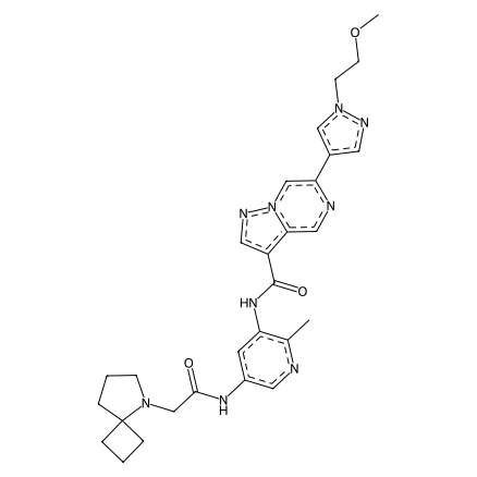 COCCn1cc(-c2cn3ncc(C(=O)Nc4cc(NC(=O)CN5CCCC56CCC6)cnc4C)c3cn2)cn1